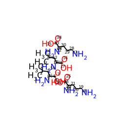 CC(C)C[C@H](N)C(=O)O.CC(C)C[C@H](N)C(=O)O.NCCC[C@H](N)C(=O)O.NCCC[C@H](N)C(=O)O